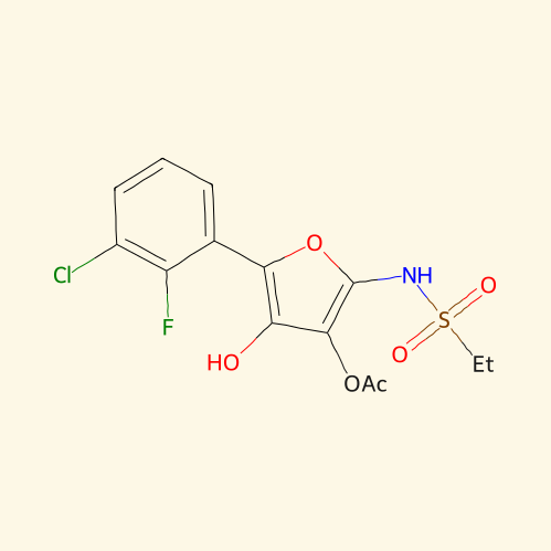 CCS(=O)(=O)Nc1oc(-c2cccc(Cl)c2F)c(O)c1OC(C)=O